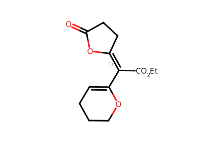 CCOC(=O)/C(C1=CCCCO1)=C1\CCC(=O)O1